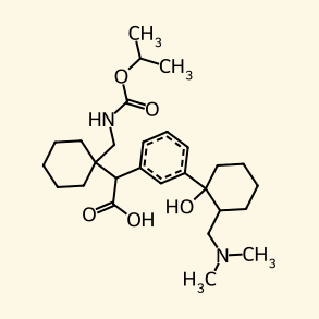 CC(C)OC(=O)NCC1(C(C(=O)O)c2cccc(C3(O)CCCCC3CN(C)C)c2)CCCCC1